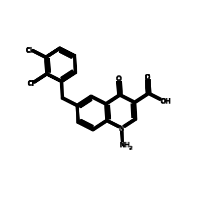 Nn1cc(C(=O)O)c(=O)c2cc(Cc3cccc(Cl)c3Cl)ccc21